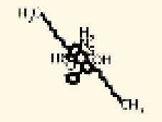 CCCCCCCCCc1cc(N)c2c(c1O)C(=O)c1c(-c3ccccc3)cc(CCCCCCCCC)c(O)c1C2=S